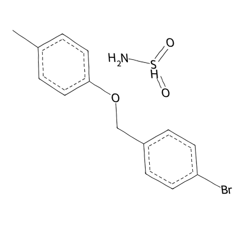 Cc1ccc(OCc2ccc(Br)cc2)cc1.N[SH](=O)=O